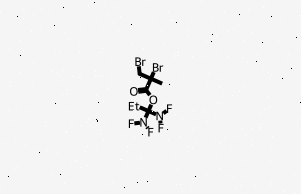 CCC(OC(=O)C(C)(Br)CBr)(N(F)F)N(F)F